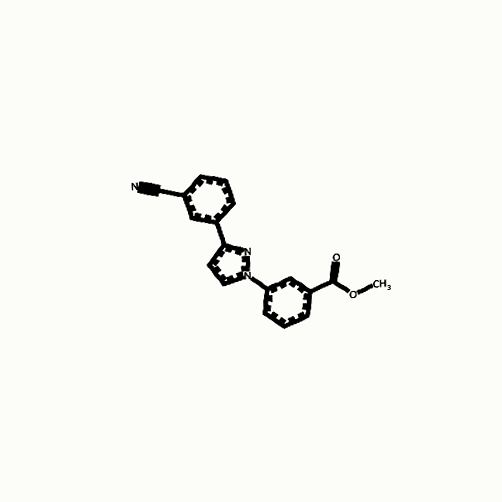 COC(=O)c1cccc(-n2ccc(-c3cccc(C#N)c3)n2)c1